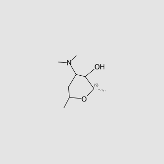 CC1CC(N(C)C)C(O)[C@H](C)O1